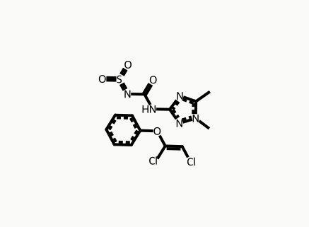 Cc1nc(NC(=O)N=S(=O)=O)nn1C.ClC=C(Cl)Oc1ccccc1